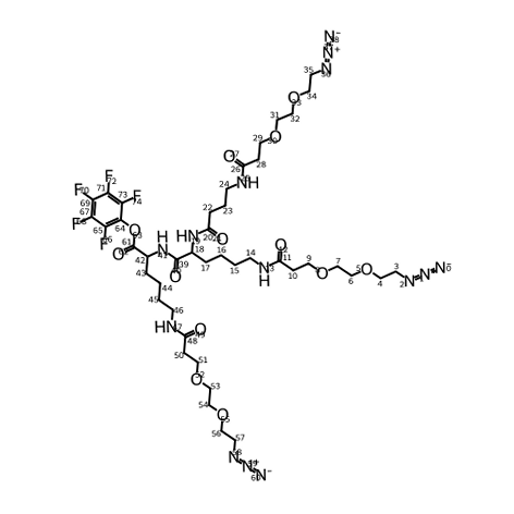 [N-]=[N+]=NCCOCCOCCC(=O)NCCCCC(NC(=O)CCCNC(=O)CCOCCOCCN=[N+]=[N-])C(=O)NC(CCCCNC(=O)CCOCCOCCN=[N+]=[N-])C(=O)Oc1c(F)c(F)c(F)c(F)c1F